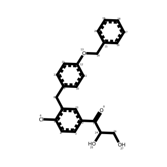 O=C(c1ccc(Cl)c(Cc2ccc(OCc3ccccc3)cc2)c1)C(O)CO